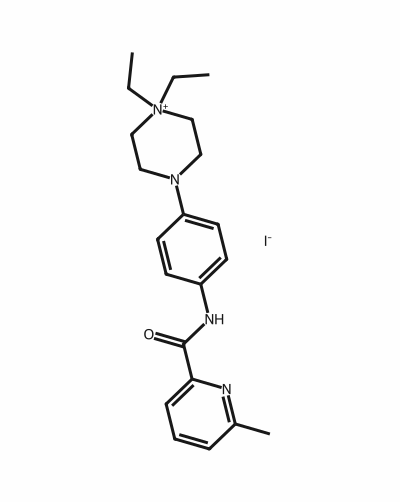 CC[N+]1(CC)CCN(c2ccc(NC(=O)c3cccc(C)n3)cc2)CC1.[I-]